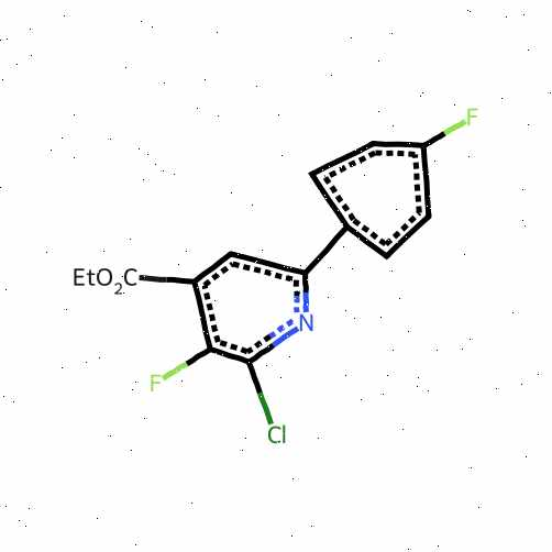 CCOC(=O)c1cc(-c2ccc(F)cc2)nc(Cl)c1F